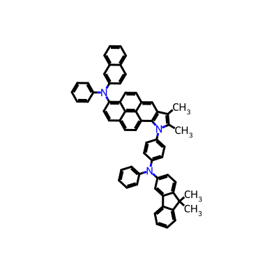 Cc1c(C)n(-c2ccc(N(c3ccccc3)c3ccc4c(c3)-c3ccccc3C4(C)C)cc2)c2c1cc1ccc3c(N(c4ccccc4)c4ccc5ccccc5c4)ccc4ccc2c1c43